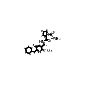 COc1nc(CC2CCCCC2)c(F)cc1CNC(=O)C1CCCN1C(=O)OC(C)(C)C